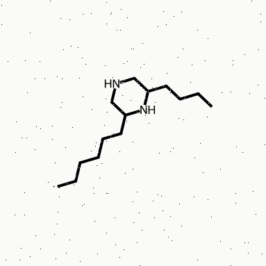 [CH2]CCCCCC1CNCC(CCCC)N1